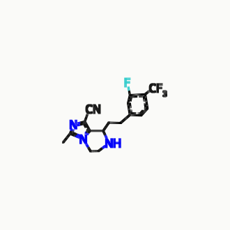 Cc1nc(C#N)c2n1CCNC2CCc1ccc(C(F)(F)F)c(F)c1